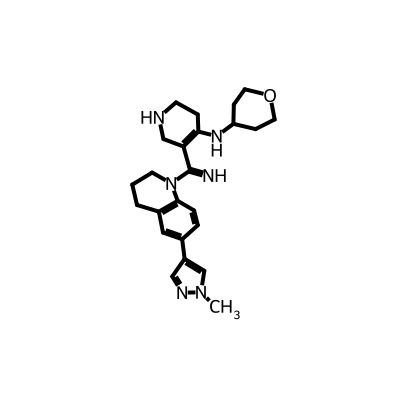 Cn1cc(-c2ccc3c(c2)CCCN3C(=N)C2=C(NC3CCOCC3)CCNC2)cn1